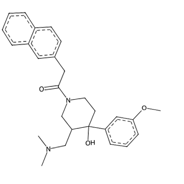 COc1cccc(C2(O)CCN(C(=O)Cc3ccc4ccccc4c3)CC2CN(C)C)c1